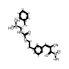 CCN(C(=O)C(C#N)=Cc1cccc(CCOC(=O)N[C@@H](Cc2ccccc2)B(O)O)c1)C(C)C